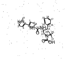 Cn1nccc1-c1csc(C(=O)NC(Cc2ccccc2)CN(C(=O)O)C(C)(C)C)n1